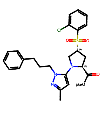 COC(=O)[C@@H]1C[C@@H](S(=O)(=O)c2ccccc2Cl)CN1c1cc(C)nn1CCCc1ccccc1